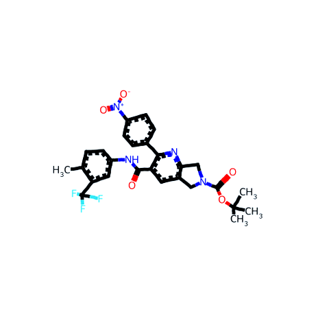 Cc1ccc(NC(=O)c2cc3c(nc2-c2ccc([N+](=O)[O-])cc2)CN(C(=O)OC(C)(C)C)C3)cc1C(F)(F)F